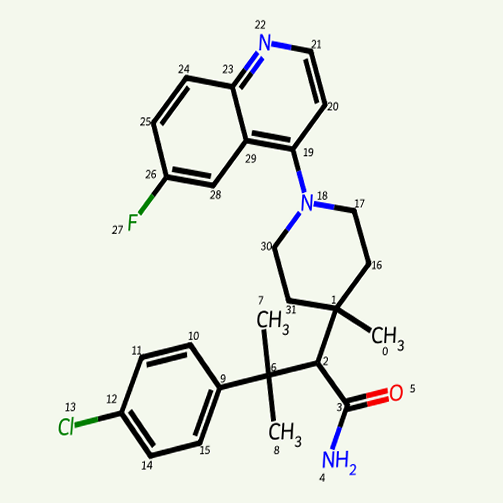 CC1(C(C(N)=O)C(C)(C)c2ccc(Cl)cc2)CCN(c2ccnc3ccc(F)cc23)CC1